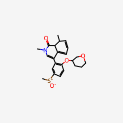 CC1C=CC=C2C(c3cc([S+](C)[O-])ccc3OC3CCCOC3)=CN(C)C(=O)C21